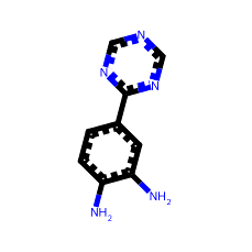 Nc1ccc(-c2ncncn2)cc1N